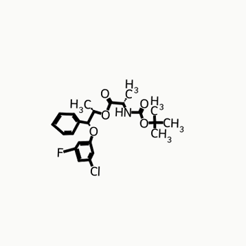 C[C@H](NC(=O)OC(C)(C)C)C(=O)O[C@@H](C)[C@H](Oc1cc(F)cc(Cl)c1)c1ccccc1